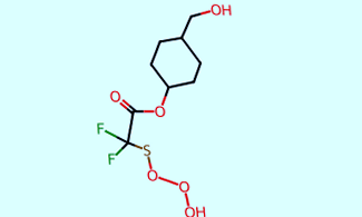 O=C(OC1CCC(CO)CC1)C(F)(F)SOOO